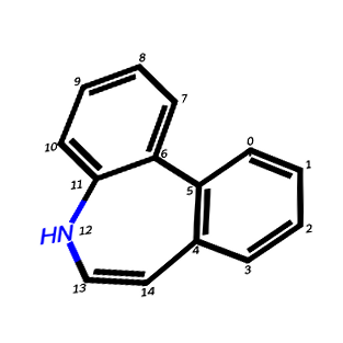 [c]1cccc2c1-c1ccccc1NC=C2